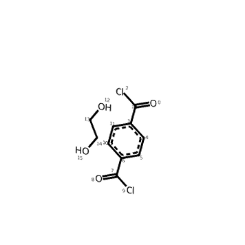 O=C(Cl)c1ccc(C(=O)Cl)cc1.OCCO